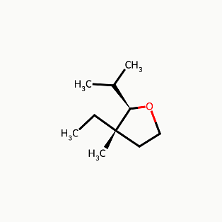 CC[C@@]1(C)CCO[C@@H]1C(C)C